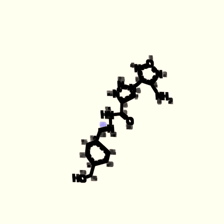 Nc1nonc1-n1cc(C(=O)N/N=C/c2ccc(CO)cc2)nn1